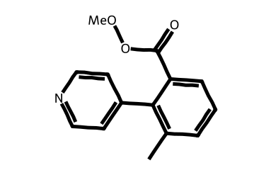 COOC(=O)c1cccc(C)c1-c1ccncc1